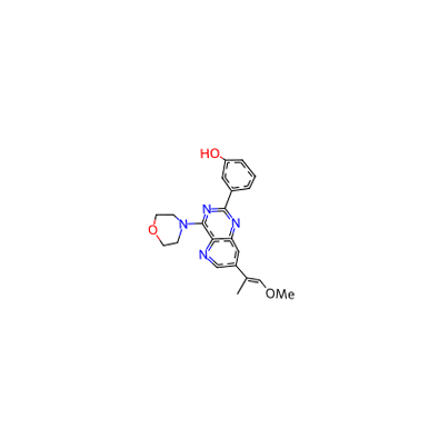 COC=C(C)c1cnc2c(N3CCOCC3)nc(-c3cccc(O)c3)nc2c1